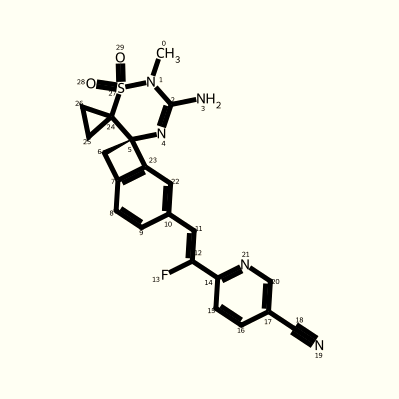 CN1C(N)=N[C@@]2(Cc3ccc(/C=C(\F)c4ccc(C#N)cn4)cc32)C2(CC2)S1(=O)=O